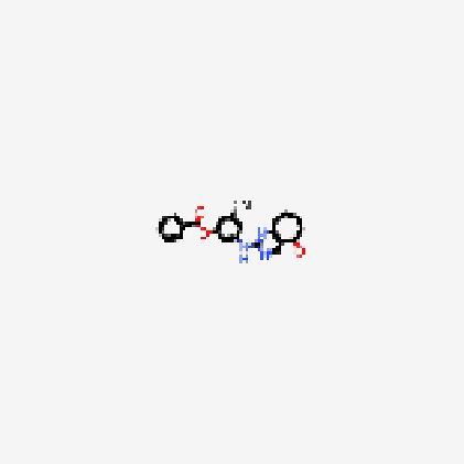 N#Cc1cc(Nc2ncc3c(n2)CCCCC3=O)cc(OC(=O)c2ccccc2)c1